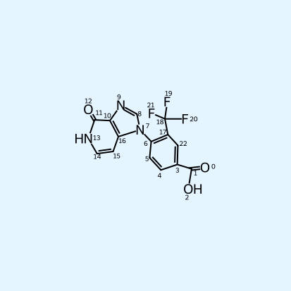 O=C(O)c1ccc(-n2cnc3c(=O)[nH]ccc32)c(C(F)(F)F)c1